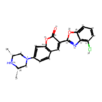 C[C@@H]1CN(c2ccc3cc(-c4nc5c(Cl)cccc5o4)c(=O)oc3c2)C[C@H](C)N1